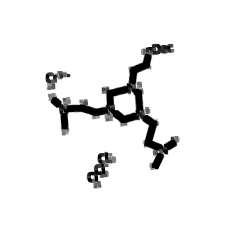 CCCCCCCCCCCCN1CN(CCN(C)C)CN(CCN(C)C)C1.[Cl-].[Cl-].[Cl-].[Cr+3]